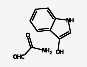 NC(=O)C=O.Oc1c[nH]c2ccccc12